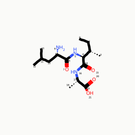 CC[C@H](C)[C@H](NC(=O)[C@@H](N)CC(C)C)C(=O)N[C@@H](C)C(=O)O